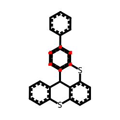 c1ccc(-c2ccc(C34c5ccccc5Sc5cccc(c53)Sc3ccccc34)cc2)cc1